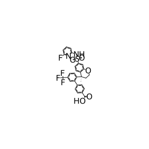 C[C@@]1(c2ccc(C(F)(F)F)cc2-c2ccc(C(=O)O)cc2)CCOc2cc(S(=O)(=O)Nc3cccc(F)n3)ccc21